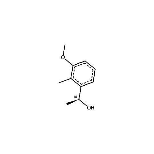 COc1cccc([C@H](C)O)c1C